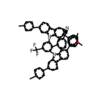 Cc1ccc(-c2ccc3c4ccc(-c5ccc(C)cc5)cc4n(-c4cc(C(F)(F)F)cc(-n5c6cc(-c7ccc(C)cc7)ccc6c6ccc(-c7ccc(C)cc7)cc65)c4-c4cccc(C#N)c4)c3c2)cc1